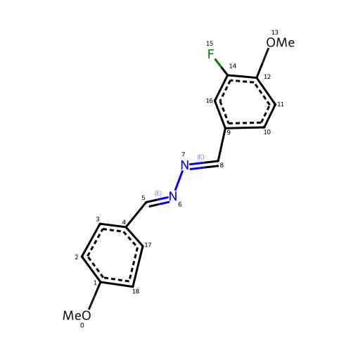 COc1ccc(/C=N/N=C/c2ccc(OC)c(F)c2)cc1